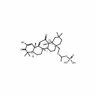 CC(OC[C@]12CCC(C)(C)C[C@H]1[C@H]1C(=O)C=C3[C@@]4(C)C=C(C#N)C(=O)C(C)(C)[C@@H]4CC[C@@]3(C)[C@]1(C)CC2)OP(=O)(O)O